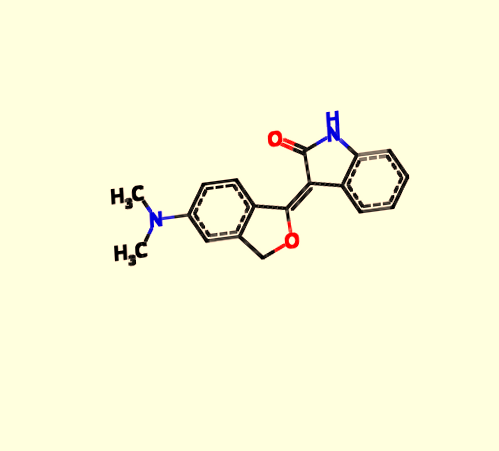 CN(C)c1ccc2c(c1)COC2=C1C(=O)Nc2ccccc21